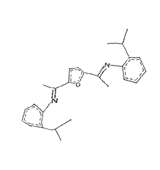 C/C(=N\c1ccccc1C(C)C)c1ccc(/C(C)=N/c2ccccc2C(C)C)o1